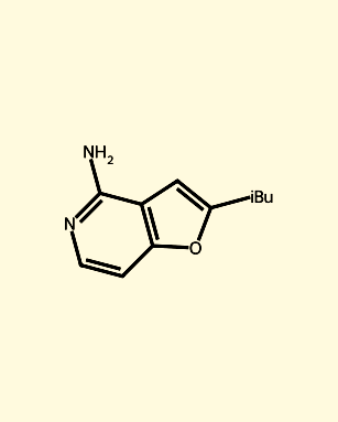 CCC(C)c1cc2c(N)nccc2o1